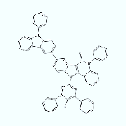 O=c1c2c3cc(-c4ccc5c(c4)c4ccccc4n5-c4ccccc4)ccc3n(-c3nc(-c4ccccc4)c4sc5ccccc5c4n3)c2c2ccccc2n1-c1ccccc1